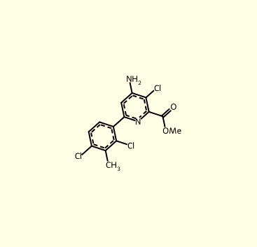 COC(=O)c1nc(-c2ccc(Cl)c(C)c2Cl)cc(N)c1Cl